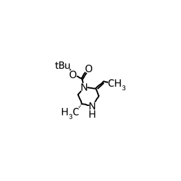 C/C=C1\CN[C@H](C)CN1C(=O)OC(C)(C)C